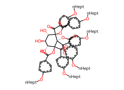 CCCCCCCOc1ccc(C(=O)O[C@@]2(C(=O)c3ccc(OCCCCCCC)cc3)[C@@](OC(=O)c3ccc(OCCCCCCC)cc3)(C(=O)c3ccc(OCCCCCCC)cc3)[C@@H](O)[C@H](O)[C@@H](O)[C@@]2(OC(=O)c2ccc(OCCCCCCC)cc2)C(=O)c2ccc(OCCCCCCC)cc2)cc1